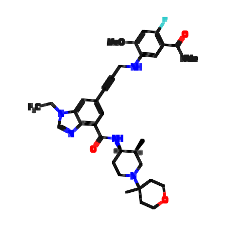 CNC(=O)c1cc(NCC#Cc2cc(C(=O)N[C@@H]3CCN(C4(C)CCOCC4)C[C@@H]3C)c3ncn(CC(F)(F)F)c3c2)c(OC)cc1F